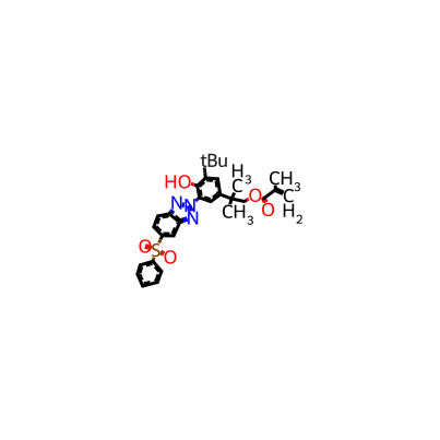 C=C(C)C(=O)OCC(C)(C)c1cc(-n2nc3ccc(S(=O)(=O)c4ccccc4)cc3n2)c(O)c(C(C)(C)C)c1